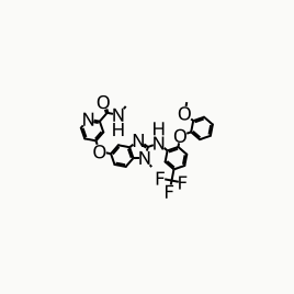 CNC(=O)c1cc(Oc2ccc3c(c2)nc(Nc2cc(C(F)(F)F)ccc2Oc2ccccc2OC)n3C)ccn1